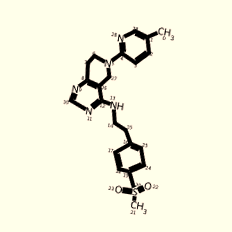 Cc1ccc(N2CCc3ncnc(NCCc4ccc(S(C)(=O)=O)cc4)c3C2)nc1